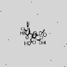 CC(=O)OC[C@@H]1O[C@H](c2cn(C#N)c(=O)[nH]c2=O)[C@@H](CC(=O)O)[C@H]1CC(=O)O